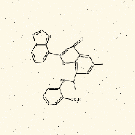 Cc1cc(C(C)Nc2ccccc2C(=O)O)c2oc(-c3cccn4ccnc34)cc(=O)c2c1